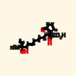 C=CC(O)(CC=CCC=CCC[C@](O)(C(=O)O)[C@H]1CCCC1=O)CCCC